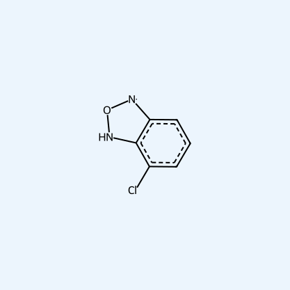 Clc1cccc2c1NO[N]2